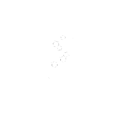 Cc1ccc(-c2nccc3[nH]c(-c4n[nH]c5ccc(-c6cncc(OCCN7CCCC7)c6)nc45)cc23)s1